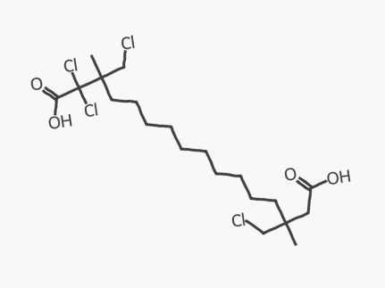 CC(CCl)(CCCCCCCCCCC(C)(CCl)C(Cl)(Cl)C(=O)O)CC(=O)O